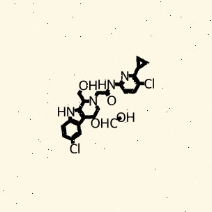 O=C(CN1CCc2c([nH]c3ccc(Cl)cc23)C1CO)Nc1ccc(Cl)c(C2CC2)n1.O=CO